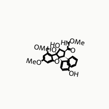 CONC(=O)[C@@H]1[C@H](O)[C@]2(O)c3c(OC)cc(OC)cc3O[C@]2(c2ccc(O)cc2)[C@H]1c1ccccc1